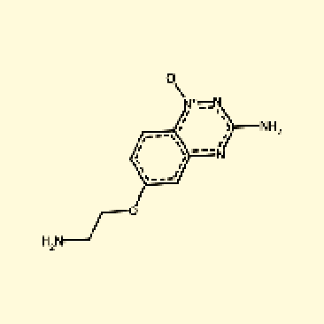 NCCOc1ccc2c(c1)nc(N)n[n+]2[O-]